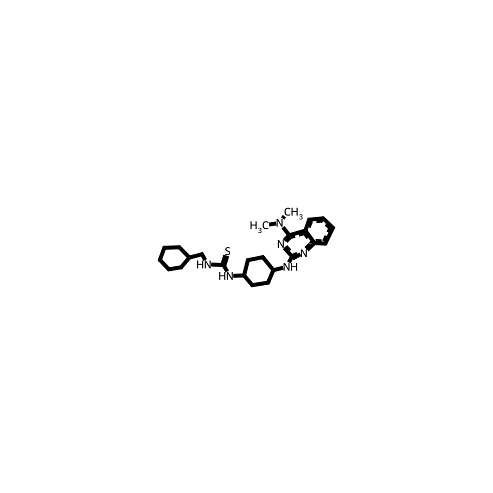 CN(C)c1nc(NC2CCC(NC(=S)NCC3CCCCC3)CC2)nc2ccccc12